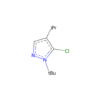 CC(C)c1cnn(C(C)(C)C)c1Cl